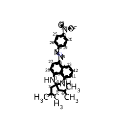 CC(C)CC1(CC(C)C)Nc2cccc3c(/N=N/c4ccc([N+](=O)[O-])cc4)ccc(c23)N1